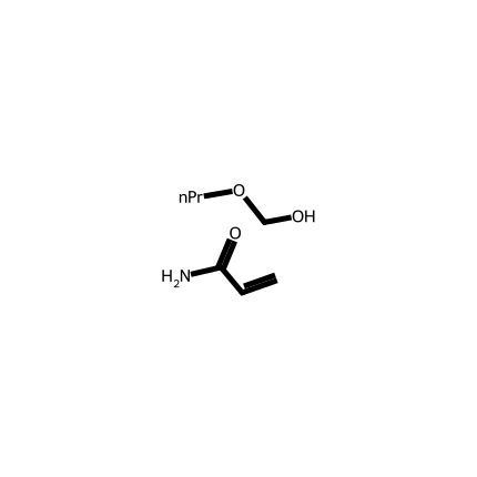 C=CC(N)=O.CCCOCO